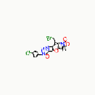 O=C(NCc1ccc(Cl)cc1)c1cc(O[C@H]2CCN3C(=O)OC[C@@H]3C2)c(C2CC2CBr)cn1